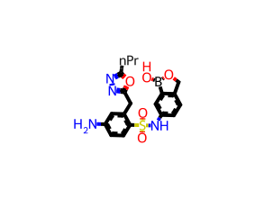 CCCc1nnc(Cc2cc(N)ccc2S(=O)(=O)Nc2ccc3c(c2)B(O)OC3)o1